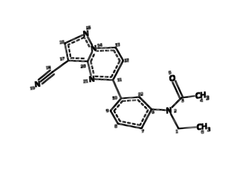 CCN(C(C)=O)c1cccc(-c2ccn3ncc(C#N)c3n2)c1